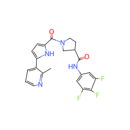 Cc1ncccc1-c1ccc(C(=O)N2CCC(C(=O)Nc3cc(F)c(F)c(F)c3)C2)[nH]1